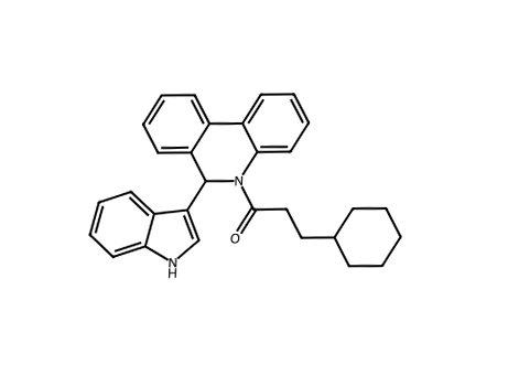 O=C(CCC1CCCCC1)N1c2ccccc2-c2ccccc2C1c1c[nH]c2ccccc12